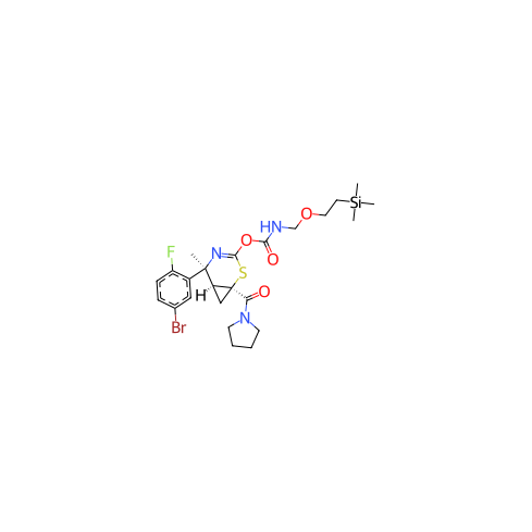 C[C@]1(c2cc(Br)ccc2F)N=C(OC(=O)NCOCC[Si](C)(C)C)S[C@@]2(C(=O)N3CCCC3)C[C@H]21